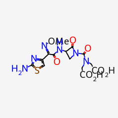 CON=C(C(=O)NC1CN(C(=O)N(CC(=O)O)CC(=O)O)C1=O)c1csc(N)n1